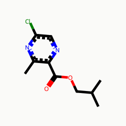 Cc1nc(Cl)cnc1C(=O)OCC(C)C